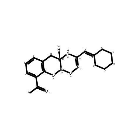 CC(=O)c1cccc2c1OB1ON=C(C=C3CCCCC3)N[C@H]1C2